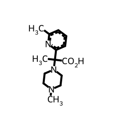 Cc1cccc(C(C)(C(=O)O)N2CCN(C)CC2)n1